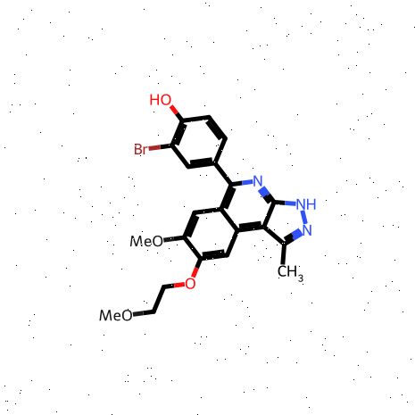 COCCOc1cc2c(cc1OC)c(-c1ccc(O)c(Br)c1)nc1[nH]nc(C)c12